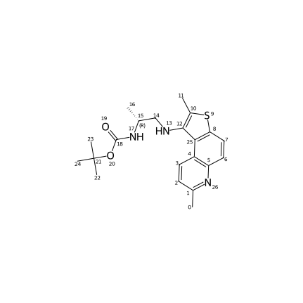 Cc1ccc2c(ccc3sc(C)c(NC[C@@H](C)NC(=O)OC(C)(C)C)c32)n1